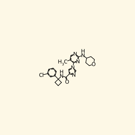 Cc1cnc(NC2CCOCC2)nc1-n1cnc(C(=O)NC2(c3cccc(Cl)c3)CCC2)c1